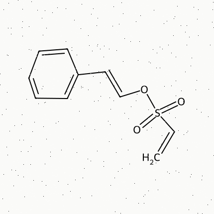 C=CS(=O)(=O)OC=Cc1ccccc1